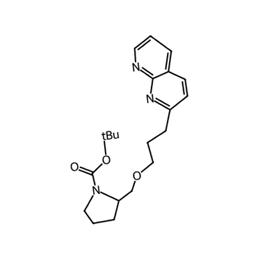 CC(C)(C)OC(=O)N1CCCC1COCCCc1ccc2cccnc2n1